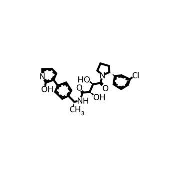 C[C@@H](NC(=O)[C@H](O)[C@@H](O)C(=O)N1CCC[C@@H]1c1cccc(Cl)c1)c1ccc(-c2cccnc2O)cc1